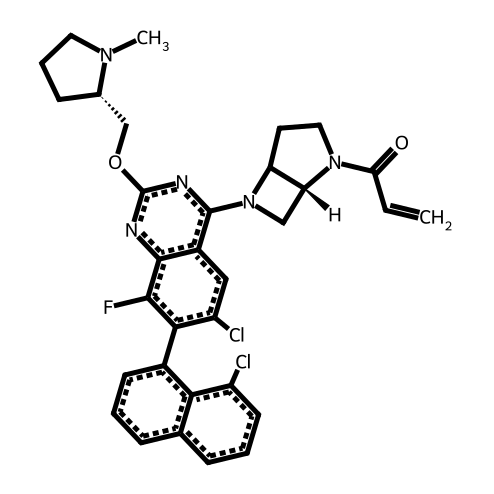 C=CC(=O)N1CCC2[C@H]1CN2c1nc(OC[C@@H]2CCCN2C)nc2c(F)c(-c3cccc4cccc(Cl)c34)c(Cl)cc12